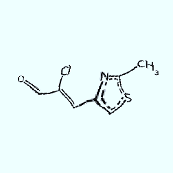 Cc1nc(C=C(Cl)C=O)cs1